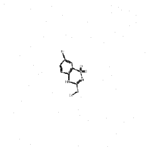 CCSC1=NS(=O)(=O)c2cc(Br)ccc2N1